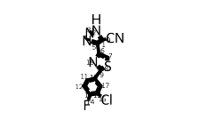 N#Cc1[nH]nnc1-c1csc(-c2ccc(F)c(Cl)c2)n1